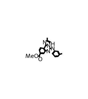 COC(=O)c1ccc2c(c1)nc(Nc1cccc(C)c1)n1cc(C)nc21